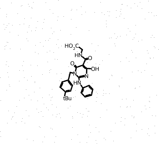 CC(C)(C)c1ccc(Cn2c(Nc3ccccc3)nc(O)c(C(=O)NCC(=O)O)c2=O)cc1